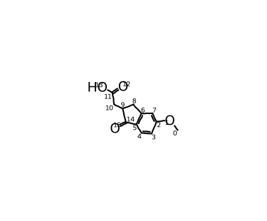 COc1ccc2c(c1)CC(CC(=O)O)C2=O